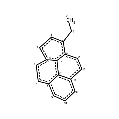 CCc1[c]cc2ccc3cccc4ccc1c2c34